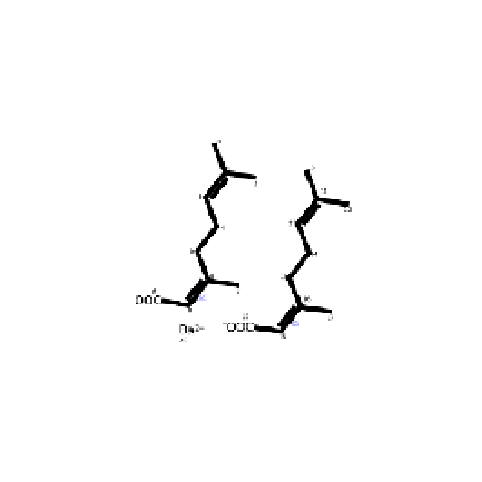 CC(C)=CCC/C(C)=C\C(=O)[O-].CC(C)=CCC/C(C)=C\C(=O)[O-].[Ba+2]